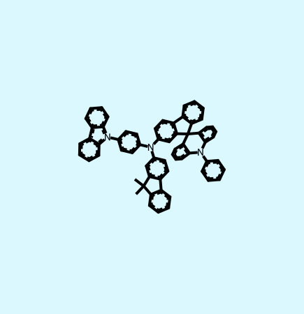 CC1(C)c2ccccc2-c2ccc(N(c3ccc(-n4c5ccccc5c5ccccc54)cc3)c3ccc4c(c3)C3(c5ccccc5-4)c4ccccc4N(c4ccccc4)c4ccccc43)cc21